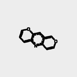 C1=COc2cc3c(nc2=C1)C=COC=3